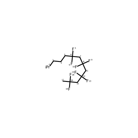 CC(C)CCCC(F)(F)CC(F)(F)CC(F)(F)CC(C)(F)F